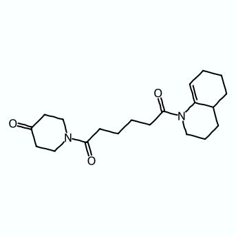 O=C1CCN(C(=O)CCCCC(=O)N2CCCC3CCCC=C32)CC1